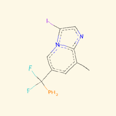 Cc1cc(C(F)(F)P)cn2c(I)cnc12